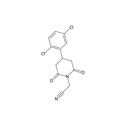 N#CCN1C(=O)CC(c2cc(Cl)ccc2Cl)CC1=O